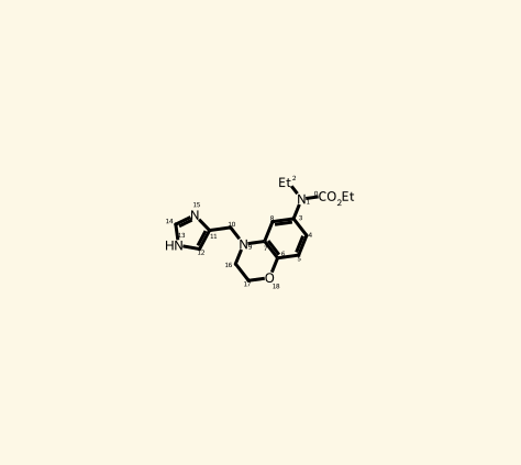 CCOC(=O)N(CC)c1ccc2c(c1)N(Cc1c[nH]cn1)CCO2